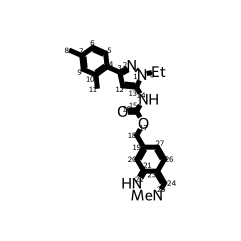 CCn1nc(-c2ccc(C)cc2C)cc1NC(=O)OCC1=CC(=N)/C(=C\NC)C=C1